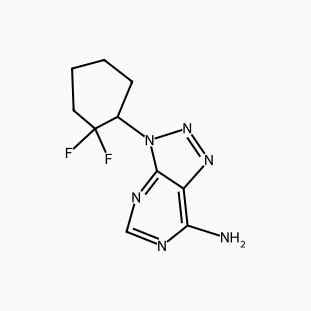 Nc1ncnc2c1nnn2C1CCCCC1(F)F